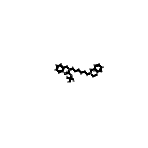 CCN(CCCCCCN(Cc1ccccc1)C(=O)OC(C)(C)C)Cc1ccccc1